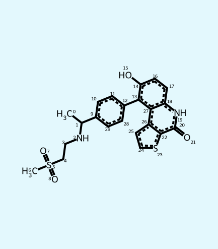 CC(NCCS(C)(=O)=O)c1ccc(-c2c(O)ccc3[nH]c(=O)c4sccc4c23)cc1